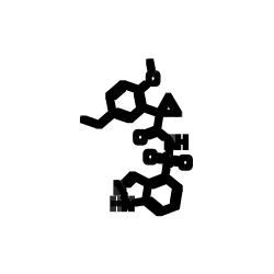 CCc1ccc(OC)c(C2(C(=O)NS(=O)(=O)c3cccc4[nH]ncc34)CC2)c1